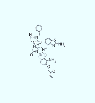 C=CC(=O)COc1ccc(C[C@H]2C(=O)N(Cc3cccc4sc(N)nc34)C[C@H]3N2C(=O)CN3N(CC#N)C(=O)NCc2ccccc2)cc1N